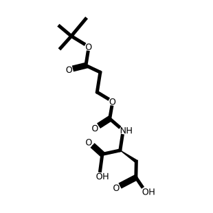 CC(C)(C)OC(=O)CCOC(=O)N[C@@H](CC(=O)O)C(=O)O